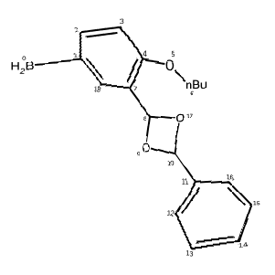 Bc1ccc(OCCCC)c(C2OC(c3ccccc3)O2)c1